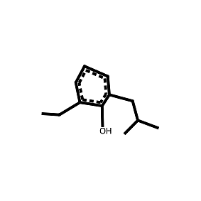 CCc1cccc(CC(C)C)c1O